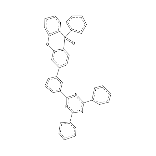 O=P1(c2ccccc2)c2ccccc2Oc2cc(-c3cccc(-c4nc(-c5ccccc5)nc(-c5ccccc5)n4)c3)ccc21